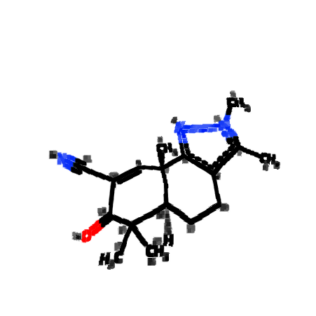 Cc1c2c(nn1C)[C@@]1(C)C=C(C#N)C(=O)C(C)(C)[C@@H]1CC2